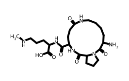 CNCCCC(NC(=O)C1CCC(=O)NCCCCC(N)C(=O)N2CCCC2C(=O)N1)C(=O)O